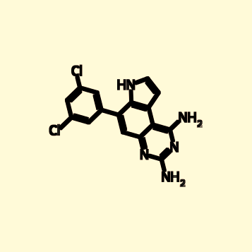 Nc1nc(N)c2c(cc(-c3cc(Cl)cc(Cl)c3)c3[nH]ccc32)n1